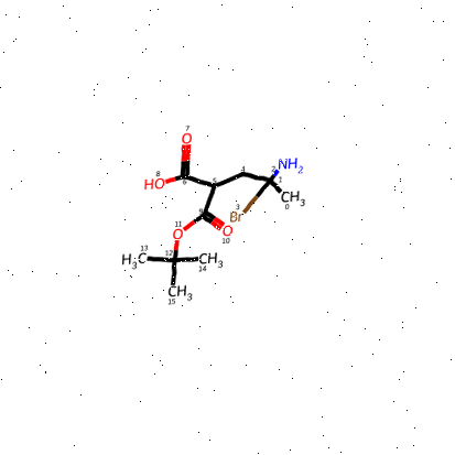 CC(N)(Br)CC(C(=O)O)C(=O)OC(C)(C)C